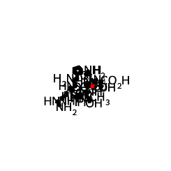 CC[C@H](C)[C@H](NC(=O)[C@@H](NC(=O)[C@@H](NC(=O)[C@H](CCCNC(=N)N)NC(=O)[C@@H](N)Cc1ccccc1)C(C)C)[C@@H](C)O)C(=O)N[C@@H](CC(N)=O)C(=O)N[C@@H](CO)C(=O)O